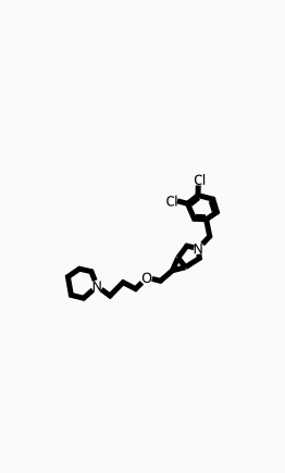 Clc1ccc(CN2CC3C(COCCCN4CCCCC4)C3C2)cc1Cl